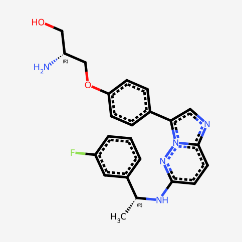 C[C@@H](Nc1ccc2ncc(-c3ccc(OC[C@H](N)CO)cc3)n2n1)c1cccc(F)c1